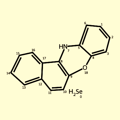 [SeH2].c1ccc2c(c1)Nc1c(ccc3ccccc13)O2